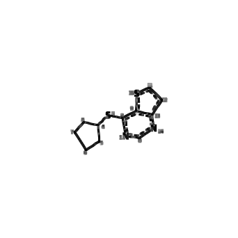 c1nc(SC2CCCC2)c2sccc2n1